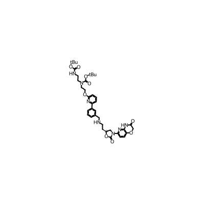 CC(C)(C)OC(=O)NCCN(CCOc1cccc(-c2cccc(CNCC[C@H]3CN(c4ccc5c(n4)NC(=O)CO5)C(=O)O3)c2)n1)C(=O)OC(C)(C)C